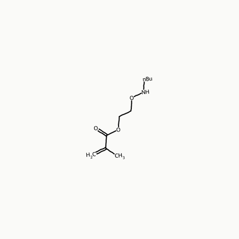 C=C(C)C(=O)OCCONCCCC